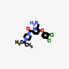 CC(C)N1CCN(C(=O)c2ccc(Oc3ccc(Cl)c(Cl)c3)c(CN)n2)CC1